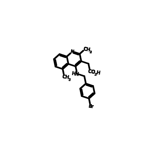 Cc1nc2cccc(C)c2c(NCc2ccc(Br)cc2)c1CC(=O)O